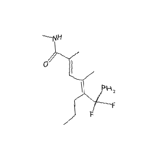 CCC/C(=C(C)\C=C(/C)C(=O)NC)C(F)(F)P